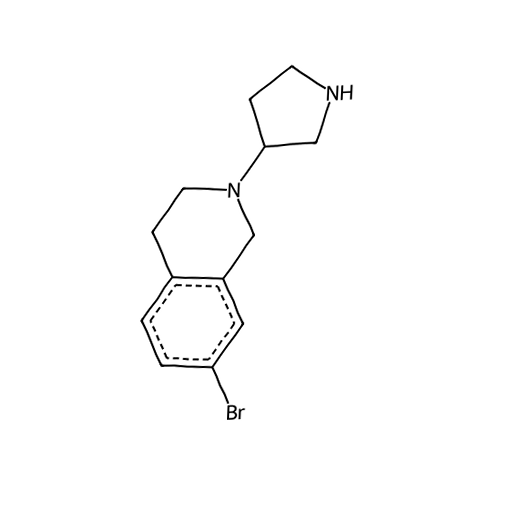 Brc1ccc2c(c1)CN(C1CCNC1)CC2